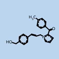 Cc1ccc(C(=O)c2cccn2CC=Cc2ccc(CO)cc2)cc1